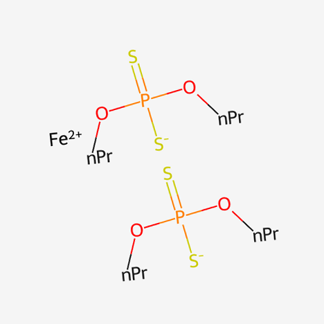 CCCOP(=S)([S-])OCCC.CCCOP(=S)([S-])OCCC.[Fe+2]